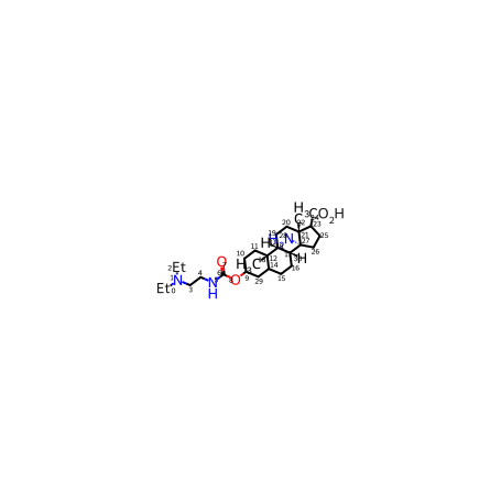 CCN(CC)CCNC(=O)OC1CC[C@@]2(C)C(CC[C@@H]3[C@H]2CC[C@]2(C)C(C(=O)O)CC[C@@]32N)C1